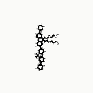 COCCOCCC1(CCOCCOC)c2cc(-c3ccccc3)ccc2-c2ccc(-c3ccc4c(c3)C(C)(C)c3cc(-c5ccccc5)ccc3-4)cc21